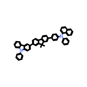 CC1(C)c2cc(-c3ccc(N(c4ccccc4)c4cccc5ccccc45)cc3)ccc2-c2ccc(-c3ccc4c(c3)c3ccccc3n4-c3ccccc3)cc21